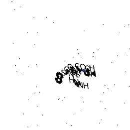 O=C(CSc1ccc2ccccc2c1)N[C@@H]1C(=O)N2C(C(=O)O)=C(/C=C3\CCN(C4CC4)C3=O)CS[C@H]12.c1c[nH]cn1